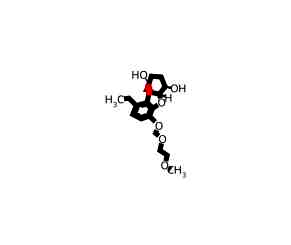 CCc1ccc(OCOCCOC)c2c1[C@]13CCC[C@]1(O)CC[C@@H](O)[C@@H]3O2